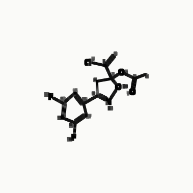 C=C(Cl)C1(OC(C)=O)CC(c2cc(F)cc(F)c2)=NO1